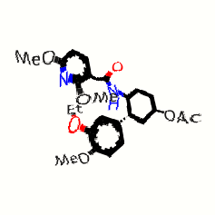 CCOc1cc([C@H]2C[C@H](OC(C)=O)CCC2NC(=O)c2ccc(OC)nc2OC)ccc1OC